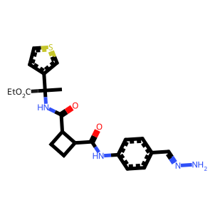 CCOC(=O)C(C)(NC(=O)C1CCC1C(=O)Nc1ccc(C=NN)cc1)c1ccsc1